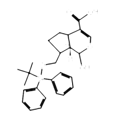 CC(C)(C)[Si](OCC1CCC2C(C(=O)O)=COC(O)[C@H]12)(c1ccccc1)c1ccccc1